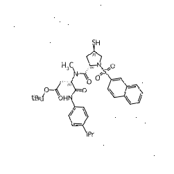 CC(C)c1ccc(NC(=O)[C@H](CC(=O)OC(C)(C)C)N(C)C(=O)[C@@H]2C[C@@H](S)CN2S(=O)(=O)c2ccc3ccccc3c2)cc1